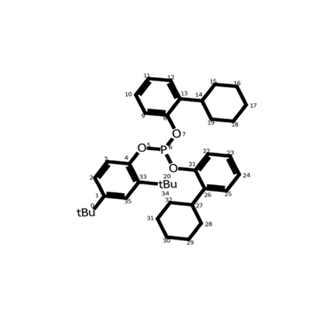 CC(C)(C)c1ccc(OP(Oc2ccccc2C2CCCCC2)Oc2ccccc2C2CCCCC2)c(C(C)(C)C)c1